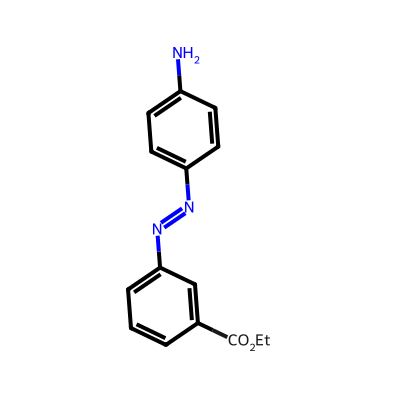 CCOC(=O)c1cccc(N=Nc2ccc(N)cc2)c1